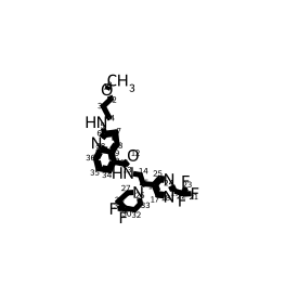 COCCCNc1ccc2c(C(=O)NCC(c3cnc(C(F)(F)F)nc3)N3CCC(F)(F)CC3)cccc2n1